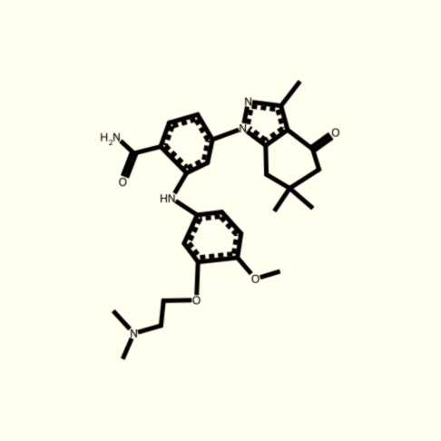 COc1ccc(Nc2cc(-n3nc(C)c4c3CC(C)(C)CC4=O)ccc2C(N)=O)cc1OCCN(C)C